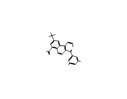 C=C(C)c1cc(C(F)(F)F)cc2c1ccc1c(-c3cc(C)cc(C)c3)nccc12